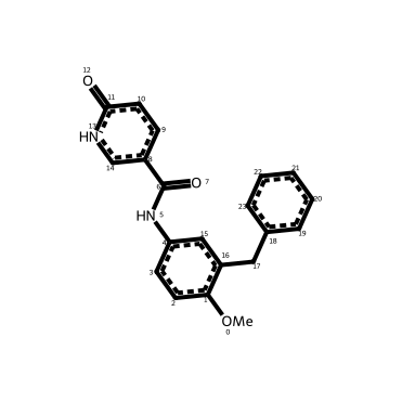 COc1ccc(NC(=O)c2ccc(=O)[nH]c2)cc1Cc1ccccc1